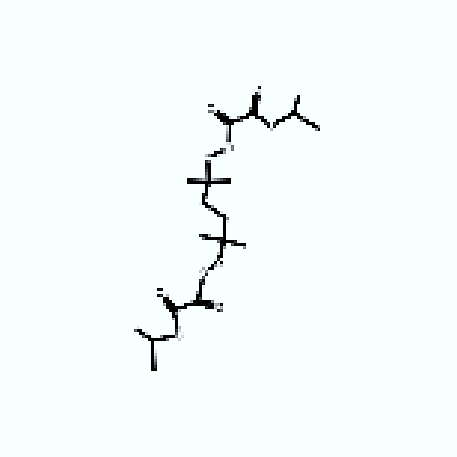 CC(C)OC(=O)C(=O)OOC(C)(C)CCC(C)(C)OOC(=O)C(=O)OC(C)C